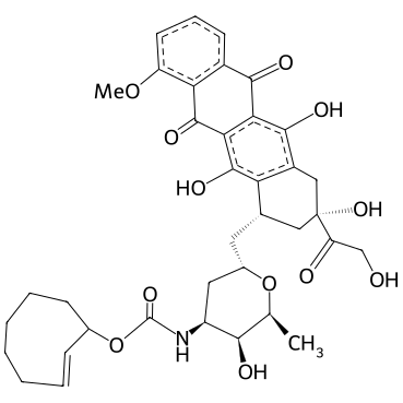 COc1cccc2c1C(=O)c1c(O)c3c(c(O)c1C2=O)C[C@@](O)(C(=O)CO)C[C@@H]3C[C@H]1C[C@H](NC(=O)OC2/C=C/CCCCC2)[C@H](O)[C@H](C)O1